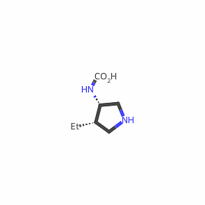 CC[C@H]1CNC[C@H]1NC(=O)O